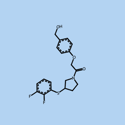 O=C(COc1ccc(CO)cc1)N1CCC(Sc2cccc(F)c2F)C1